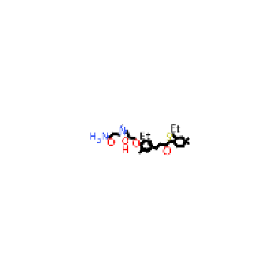 CCc1cc(CCC(=O)c2sc(CC)c3c2CCC(C)(C)C3)cc(C)c1OCC(O)CN(C)CCC(N)=O